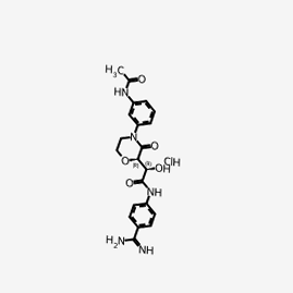 CC(=O)Nc1cccc(N2CCO[C@H]([C@@H](O)C(=O)Nc3ccc(C(=N)N)cc3)C2=O)c1.Cl